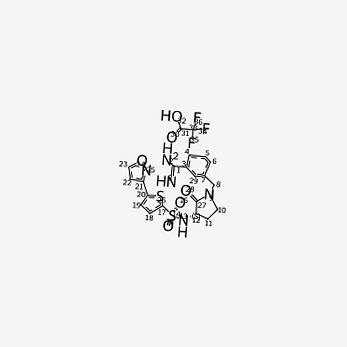 N=C(N)c1cccc(CN2CC[C@H](NS(=O)(=O)c3ccc(-c4ccon4)s3)C2=O)c1.O=C(O)C(F)(F)F